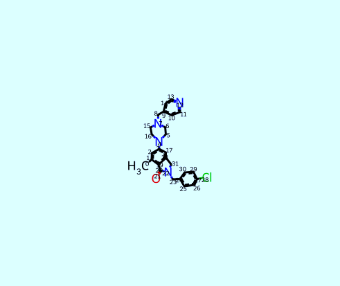 Cc1cc(N2CCN(Cc3ccncc3)CC2)cc2c1C(=O)N(Cc1ccc(Cl)cc1)C2